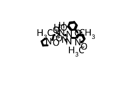 COC1=NC(c2nnc(NS(=O)(=O)[C@H](C)C(=O)N3CCCC3)n2-c2c(O)cccc2OC)=C=C=C1